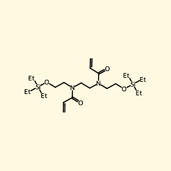 C=CC(=O)N(CCO[Si](CC)(CC)CC)CCN(CCO[Si](CC)(CC)CC)C(=O)C=C